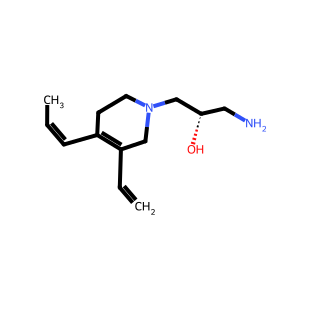 C=CC1=C(/C=C\C)CCN(C[C@@H](O)CN)C1